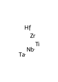 [Hf].[Nb].[Ta].[Ti].[Zr]